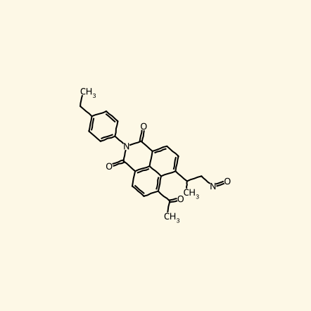 CCc1ccc(N2C(=O)c3ccc(C(C)=O)c4c(C(C)CN=O)ccc(c34)C2=O)cc1